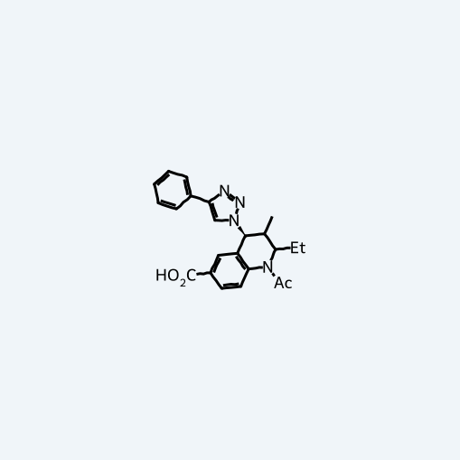 CCC1C(C)[C@H](n2cc(-c3ccccc3)nn2)c2cc(C(=O)O)ccc2N1C(C)=O